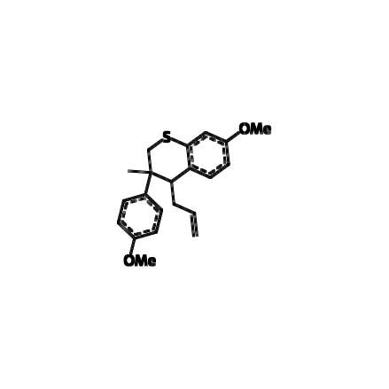 C=CCC1c2ccc(OC)cc2SCC1(C)c1ccc(OC)cc1